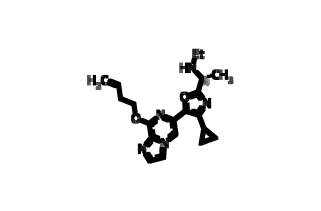 C=CCCOc1nc(-c2oc([C@@H](C)NCC)nc2C2CC2)cn2ccnc12